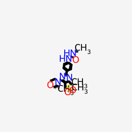 CCNC(=O)Nc1ccc(-c2nc(N3CCOC[C@H]3C)c3c(n2)C(C)(C)S(=O)(=O)C3)cc1